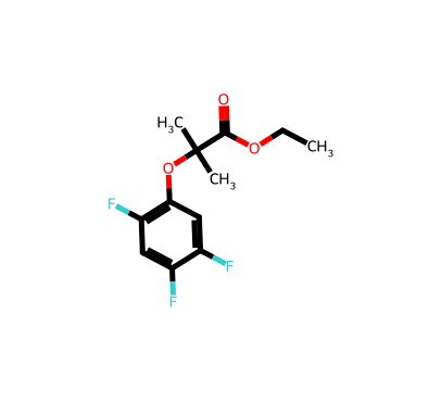 CCOC(=O)C(C)(C)Oc1cc(F)c(F)cc1F